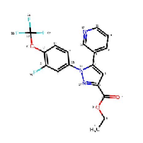 CCOC(=O)c1cc(-c2cccnc2)n(-c2ccc(OC(F)(F)F)c(F)c2)n1